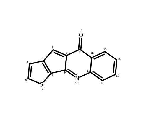 O=C1C2=Cc3ccsc3C2=Nc2ccccc21